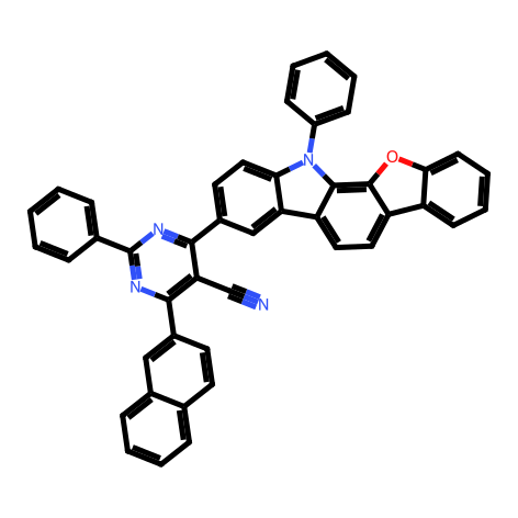 N#Cc1c(-c2ccc3ccccc3c2)nc(-c2ccccc2)nc1-c1ccc2c(c1)c1ccc3c4ccccc4oc3c1n2-c1ccccc1